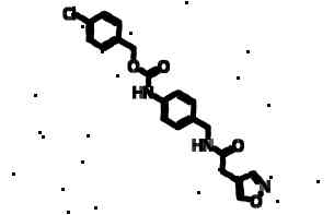 O=C(Cc1cnoc1)NCc1ccc(NC(=O)OCc2ccc(Cl)cc2)cc1